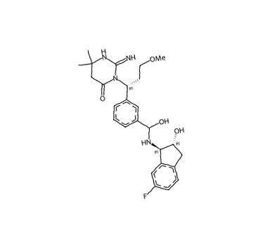 COCC[C@H](c1cccc(C(O)N[C@@H]2c3cc(F)ccc3C[C@H]2O)c1)N1C(=N)NC(C)(C)CC1=O